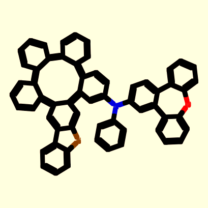 c1ccc(N(c2ccc3c(c2)-c2ccccc2Oc2ccccc2-3)c2ccc3c4ccccc4c4ccccc4c4ccccc4c4cc5c(cc4c3c2)sc2ccccc25)cc1